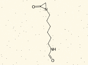 O=CNCCCCCCN1CC1=O